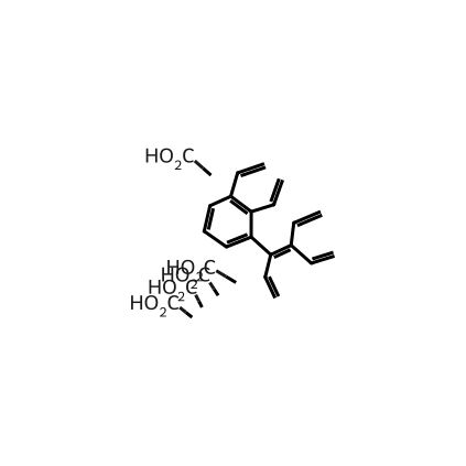 C=CC(C=C)=C(C=C)c1cccc(C=C)c1C=C.CC(=O)O.CC(=O)O.CC(=O)O.CC(=O)O.CC(=O)O